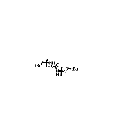 CC(C)(C)CC(C)(C)NNC(=O)NC(C)(C)N=NC(C)(C)C